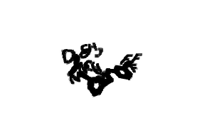 COC(=O)c1cnc(-c2cccc3cc(Cc4cccc(C(F)(F)F)c4)sc23)n1C